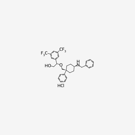 Cl.OCC(OC[C@]1(c2ccccc2)CC[C@H](NCc2ccccc2)CC1)c1cc(C(F)(F)F)cc(C(F)(F)F)c1